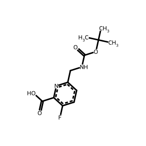 CC(C)(C)OC(=O)NCc1ccc(F)c(C(=O)O)n1